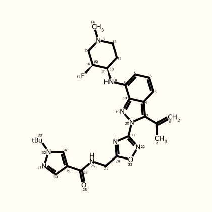 C=C(C)c1c2cccc(N[C@@H]3CCN(C)C[C@@H]3F)c2nn1-c1noc(CNC(=O)c2cnn(C(C)(C)C)c2)n1